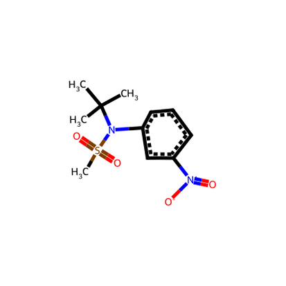 CC(C)(C)N(c1cccc([N+](=O)[O-])c1)S(C)(=O)=O